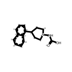 O=C(O)NN1CCC(c2cccc3ccccc23)CC1